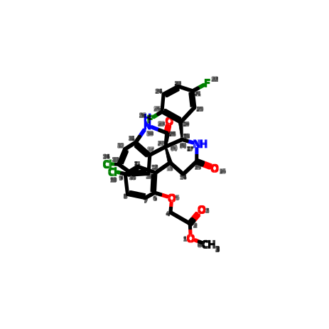 COC(=O)COc1ccc(Cl)cc1C1CC(=O)N[C@H](c2cc(F)ccc2F)[C@]12C(=O)Nc1cc(Cl)ccc12